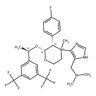 C[C@@H](O[C@H]1OCC[N+](C)(c2nc[nH]c2CN(C)C)[C@H]1c1ccc(F)cc1)c1cc(C(F)(F)F)cc(C(F)(F)F)c1